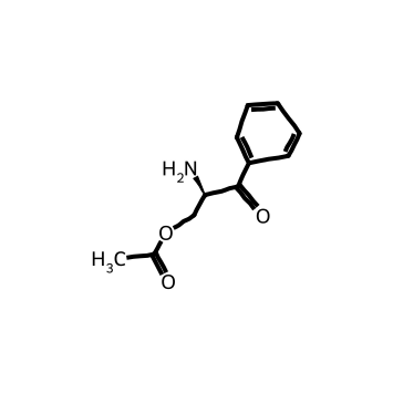 CC(=O)OC[C@@H](N)C(=O)c1ccccc1